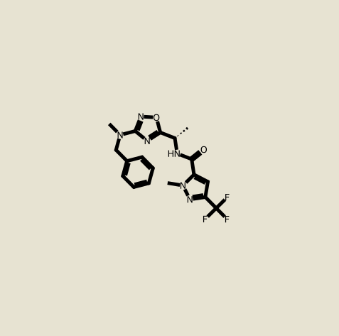 C[C@H](NC(=O)c1cc(C(F)(F)F)nn1C)c1nc(N(C)Cc2ccccc2)no1